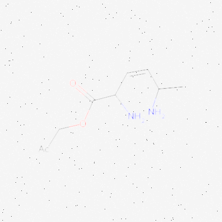 CC(=O)COC(=O)C(N)/C=C\C(C)N